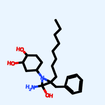 CCCCCCCCC1(Cc2ccccc2)N(C2CCC(O)C(O)C2)C1(N)O